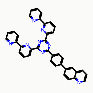 c1ccc(-c2cccc(-c3nc(-c4ccc(-c5ccc6ncccc6c5)cc4)nc(-c4cccc(-c5ccccn5)n4)n3)n2)nc1